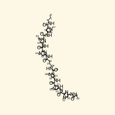 CCCNC(=O)c1cc(NC(=O)c2nc(NC(=O)c3nc(NC(=O)CCCNC(=O)c4cc(NC(=O)c5cc(NC(=O)c6nc(NC(=O)CC)cn6C)cn5C)cn4C)cn3C)cn2C)cn1C